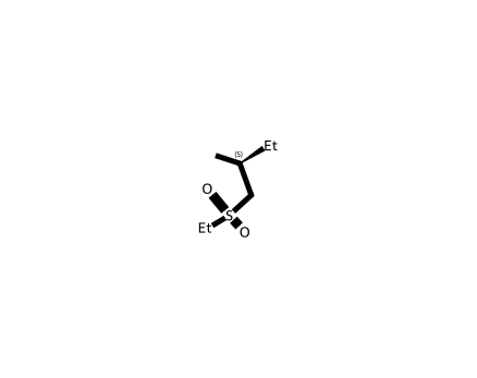 CC[C@H](C)CS(=O)(=O)CC